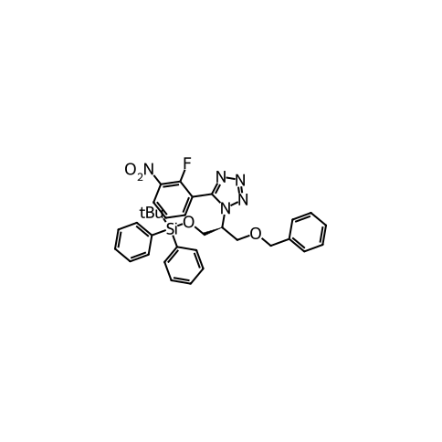 CC(C)(C)[Si](OC[C@H](COCc1ccccc1)n1nnnc1-c1cccc([N+](=O)[O-])c1F)(c1ccccc1)c1ccccc1